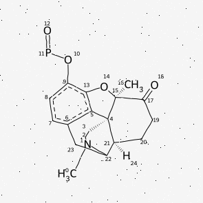 CN1CC[C@]23c4c5ccc(OP=O)c4O[C@@]2(C)C(=O)CC[C@H]3C1C5